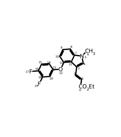 CCOC(=O)C=Cc1cn(C)c2cccc(Oc3ccc(F)c(F)c3)c12